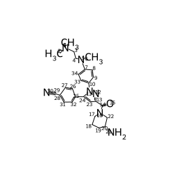 CN(C)CCN(C)c1ccc(-n2nc(C(=O)N3CCC[C@@H](N)C3)cc2-c2ccc(C#N)cc2)cc1